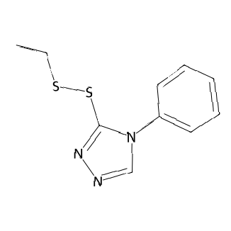 CCSSc1nncn1-c1ccccc1